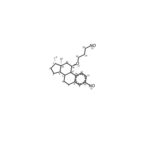 C[C@H]1CCC2C3CCc4cc(N=O)ccc4C3[C@H](OCCCN=O)C[C@@]21C